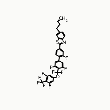 C=CCCc1ccc2nc(-c3ccc(-c4cc(F)c(C(F)(F)Oc5cc(F)c(C(F)(F)F)c(F)c5)c(F)c4)c(F)c3)sc2c1